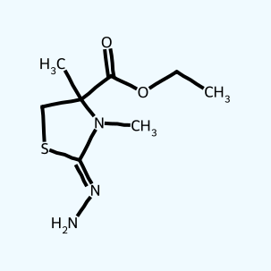 CCOC(=O)C1(C)CSC(=NN)N1C